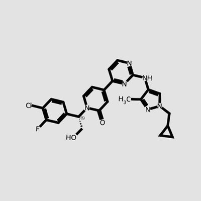 Cc1nn(CC2CC2)cc1Nc1nccc(-c2ccn([C@H](CO)c3ccc(Cl)c(F)c3)c(=O)c2)n1